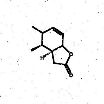 CC1C=CC2OC(=O)C[C@H]2[C@H]1C